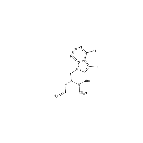 C=CC[C@H](Cn1cc(I)c2c(Cl)ncnc21)N(C(=O)O)C(C)(C)C